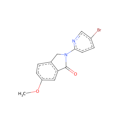 COc1ccc2c(c1)C(=O)N(c1ccc(Br)cn1)C2